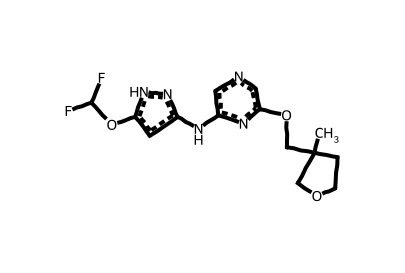 CC1(COc2cncc(Nc3cc(OC(F)F)[nH]n3)n2)CCOC1